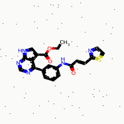 CCOC(=O)c1c[nH]c2ncnc(-c3cccc(NC(=O)C=Cc4nccs4)c3)c12